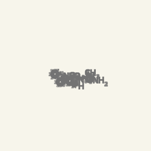 Cc1nc(N)ccc1CNC(=O)[C@@H]1CCc2cnc(N[C@@H](Cc3ccccc3)c3ccccc3)c(=O)n21